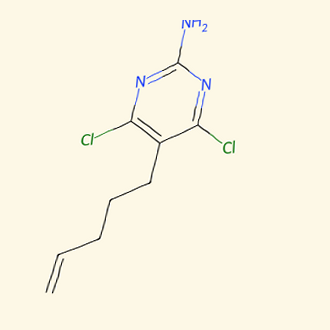 C=CCCCc1c(Cl)nc(N)nc1Cl